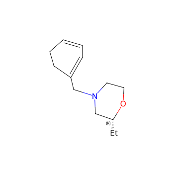 CC[C@@H]1CN(CC2=CC=CCC2)CCO1